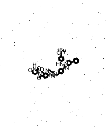 CN(Cc1cn(Cc2ccc(-c3nc4cc(-c5ccccc5)ccn4c3Nc3ccc(C(=O)OC(C)(C)C)cc3)cc2)nn1)c1cccc2c1C(=O)N(C1CCC(=O)NC1=O)C2=O